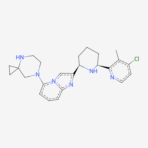 Cc1c(Cl)ccnc1[C@@H]1CCC[C@H](c2cn3c(N4CCNC5(CC5)C4)cccc3n2)N1